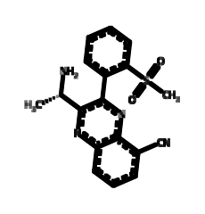 C[C@H](N)c1nc2cccc(C#N)c2nc1-c1ccccc1S(C)(=O)=O